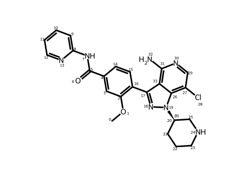 COc1cc(C(=O)Nc2ccccn2)ccc1-c1nn([C@@H]2CCCNC2)c2c(Cl)cnc(N)c12